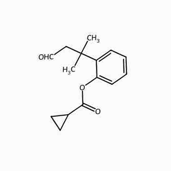 CC(C)(CC=O)c1ccccc1OC(=O)C1CC1